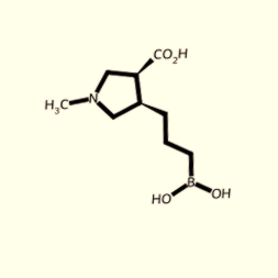 CN1C[C@H](CCCB(O)O)[C@H](C(=O)O)C1